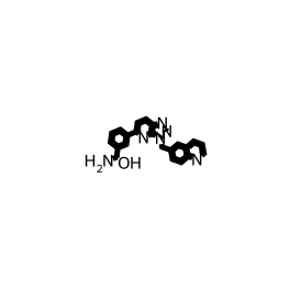 NC(O)c1cccc(-c2ccc3nnn(Cc4ccc5ncccc5c4)c3n2)c1